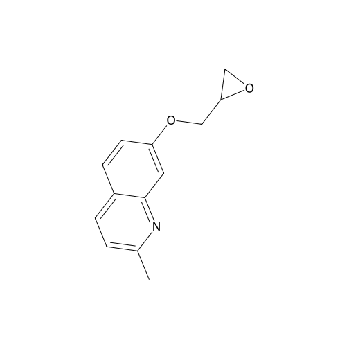 Cc1ccc2ccc(OCC3CO3)cc2n1